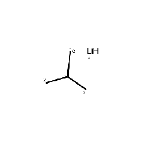 [CH2]C(C)C.[LiH]